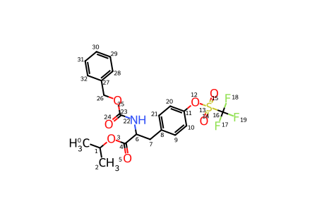 CC(C)OC(=O)C(Cc1ccc(OS(=O)(=O)C(F)(F)F)cc1)NC(=O)OCc1ccccc1